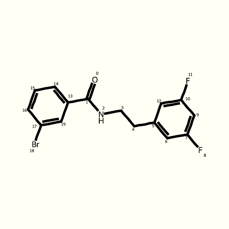 O=C(NCCc1cc(F)cc(F)c1)c1cccc(Br)c1